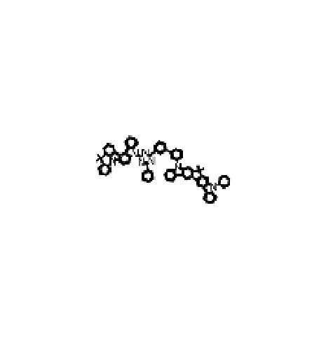 CC1(C)c2cc3c(cc2-c2cc4c5ccccc5n(-c5cccc(-c6cccc(-c7nc(-c8ccccc8)nc(-n8c9ccccc9c9c%10c%11cccc%12c%11n(c%10ccc98)-c8ccccc8C%12(C)C)n7)c6)c5)c4cc21)c1ccccc1n3-c1ccccc1